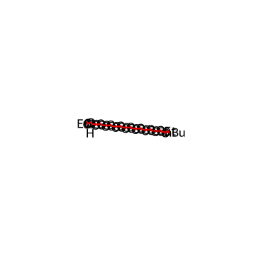 CCCCC(CC)COC(=O)CCCCCOC(=O)CCCCCOC(=O)CCCCCOC(=O)CCCCCOC(=O)CCCCCOC(=O)CCCCCOC(=O)CCCCCOC(=O)CCCCCOC(=O)CCCCCOC(=O)CCCCCOC(=O)CCCCCOC(=O)CCCCCOC(=O)CCCCCOC(=O)CCCCCOC(=O)CCCCCOC(=O)NCCOC(=O)C(C)(C)CC